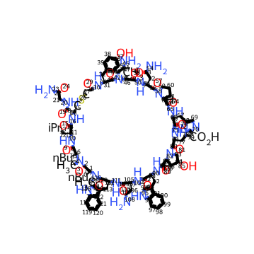 CCCC[C@H]1C(=O)N(C)[C@@H](CCCC)C(=O)N[C@@H](CC(C)C)C(=O)N[C@H](C(=O)NCC(N)=O)CSCC(=O)N[C@@H](Cc2ccc(O)cc2)C(=O)N(CCN)[C@@H](C)C(=O)N[C@@H](CC(N)=O)C(=O)N2CCC[C@H]2C(=O)N[C@@H](Cc2cnc[nH]2)C(=O)N[C@@H](CCC(=O)O)C(=O)N2C[C@H](O)C[C@H]2C(=O)N[C@@H](Cc2c[nH]c3ccccc23)C(=O)N[C@@H](CCN)C(=O)N[C@@H](Cc2c[nH]c3ccccc23)C(=O)N1C